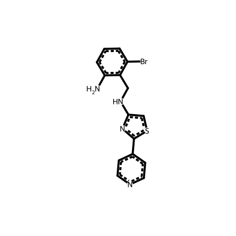 Nc1cccc(Br)c1CNc1csc(-c2ccncc2)n1